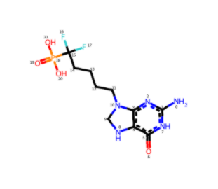 Nc1nc2c(c(=O)[nH]1)NCN2CCCCC(F)(F)P(=O)(O)O